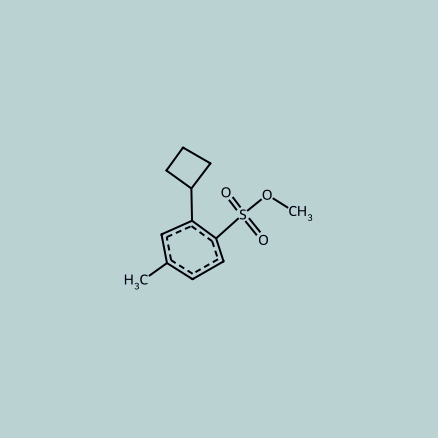 COS(=O)(=O)c1ccc(C)cc1C1CCC1